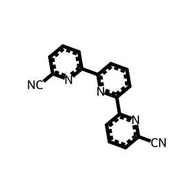 N#Cc1cccc(-c2cccc(-c3cccc(C#N)n3)n2)n1